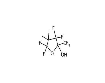 CC1(C)C(F)(F)OC(O)(C(F)(F)F)C1(F)F